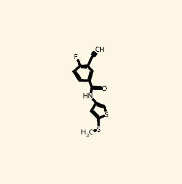 C#Cc1cc(C(=O)Nc2csc(SC)c2)ccc1F